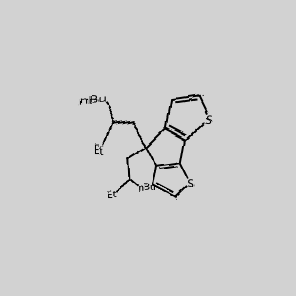 CCCCC(CC)CC1(CC(CC)CCCC)c2c[c]sc2-c2s[c]cc21